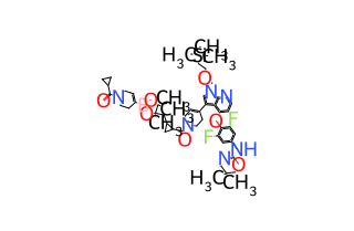 CC1(C)CN=C(Nc2cc(F)c(Oc3ccnc4c3c(C3=CCN(C(=O)C5CC5CC5(C)OB(C6=CCN(C(=O)C7CC7)CC6)OC5(C)C)CC3)cn4COCC[Si](C)(C)C)c(F)c2)OC1